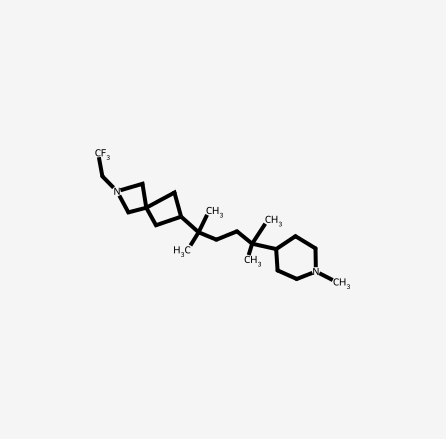 CN1CCC(C(C)(C)CCC(C)(C)C2CC3(C2)CN(CC(F)(F)F)C3)CC1